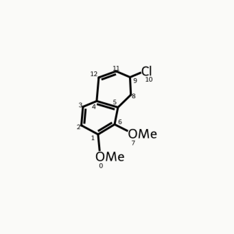 COc1ccc2c(c1OC)CC(Cl)C=C2